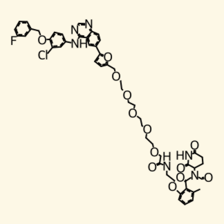 Cc1cccc(OCCNC(=O)COCCOCCOCCOCCOCc2ccc(-c3ccc4ncnc(Nc5ccc(OCc6cccc(F)c6)c(Cl)c5)c4c3)o2)c1C(=O)N(C=O)C1CCC(=O)NC1=O